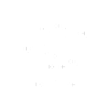 C=CC(=O)C(C(=O)O)=C(C(=O)C=C)C(=O)C=C.OCC(CO)(CO)CO